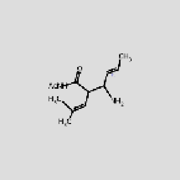 C/C=C/C(N)C(C=C(C)C)C(=O)NC(C)=O